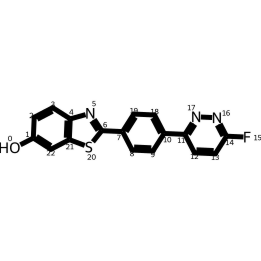 Oc1ccc2nc(-c3ccc(-c4ccc(F)nn4)cc3)sc2c1